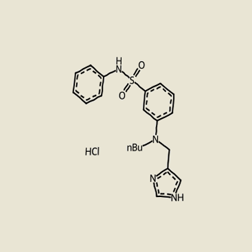 CCCCN(Cc1c[nH]cn1)c1cccc(S(=O)(=O)Nc2ccccc2)c1.Cl